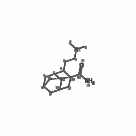 CN(C)CCC1C2CC3CC(C2)CC1(C(N)=O)C3